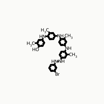 Cc1cc(Nc2ccc(Nc3ccc(Nc4ccc(NNc5cccc(Br)c5)cc4C)cc3C)cc2C)ccc1O